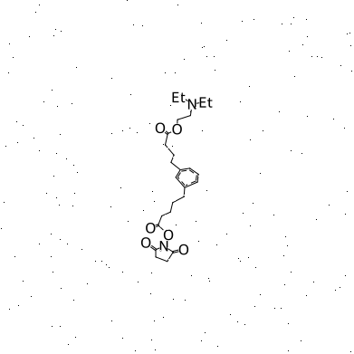 CCN(CC)CCOC(=O)CCCc1cccc(CCCCC(=O)ON2C(=O)CCC2=O)c1